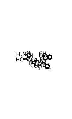 C#Cc1cn([C@@H]2O[C@H](COP(=O)(NC(Cc3ccccc3)C(=O)OC)Oc3ccc(F)cc3)[C@@H](O)[C@@]2(C)F)c2ncnc(N)c12